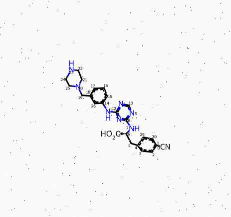 N#Cc1ccc(C[C@H](Nc2ncnc(Nc3cccc(CN4CCNCC4)c3)n2)C(=O)O)cc1